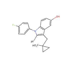 CC(C)c1c(CC2(C(=O)O)CC2)c2cc(O)ccc2n1-c1ccc(F)cc1